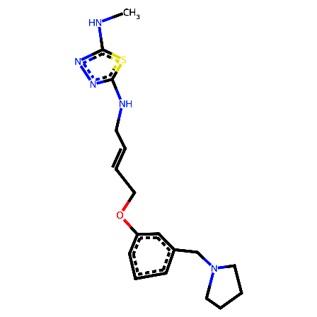 CNc1nnc(NCC=CCOc2cccc(CN3CCCC3)c2)s1